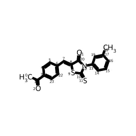 CC(=O)c1ccc(/C=C2\SC(=S)N(c3cccc(C)c3)C2=O)cc1